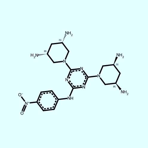 N[C@@H]1C[C@H](N)CN(c2nc(Nc3ccc([N+](=O)[O-])cc3)nc(N3C[C@H](N)C[C@H](N)C3)n2)C1